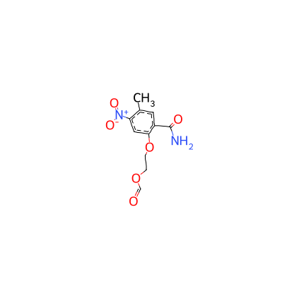 Cc1cc(C(N)=O)c(OCCOC=O)cc1[N+](=O)[O-]